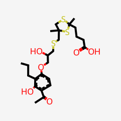 CCCc1c(OCC(O)CSCC2(C)CSC(C)(CCCC(=O)O)S2)ccc(C(C)=O)c1O